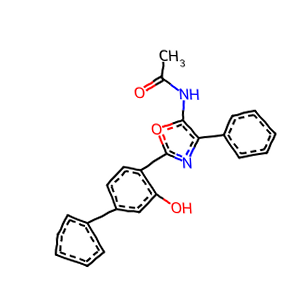 CC(=O)Nc1oc(-c2ccc(-c3ccccc3)cc2O)nc1-c1ccccc1